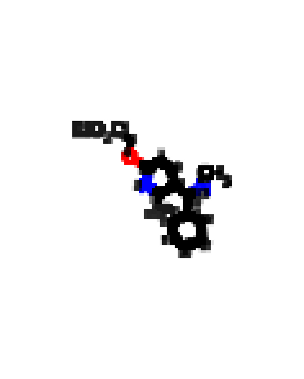 CCCc1nc(OCC(=O)OCC)ccc1/C(=N\C)c1ccccc1